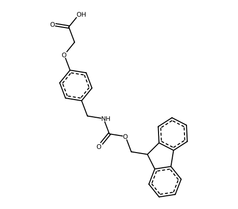 O=C(O)COc1ccc(CNC(=O)OCC2c3ccccc3-c3ccccc32)cc1